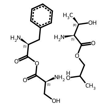 CC(O)COC(=O)[C@@H](N)[C@@H](C)O.N[C@@H](CO)C(=O)OC(=O)[C@@H](N)Cc1ccccc1